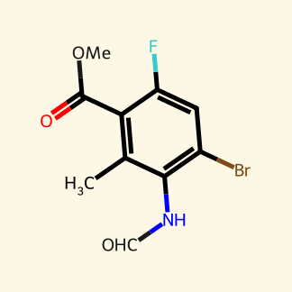 COC(=O)c1c(F)cc(Br)c(NC=O)c1C